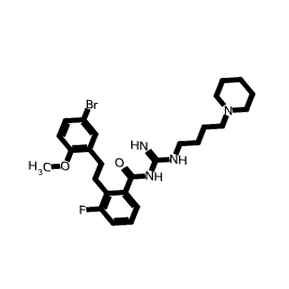 COc1ccc(Br)cc1CCc1c(F)cccc1C(=O)NC(=N)NCCCCN1CCCCC1